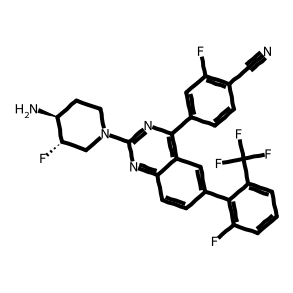 N#Cc1ccc(-c2nc(N3CC[C@H](N)[C@@H](F)C3)nc3ccc(-c4c(F)cccc4C(F)(F)F)cc23)cc1F